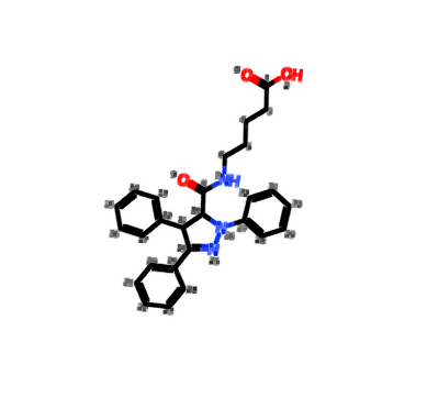 O=C(O)CCCCNC(=O)C1C(c2ccccc2)C(c2ccccc2)=NN1c1ccccc1